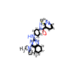 CCCSc1ncccc1C(=O)NC1CCC(Nc2nc3c(c(N(C)C)n2)CCCC3)CC1